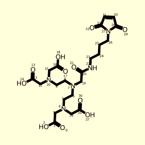 O=C(O)CN(CCN(CCN(CC(=O)O)CC(=O)O)CC(=O)NCCCCN1C(=O)C=CC1=O)CC(=O)O